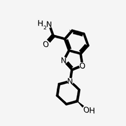 NC(=O)c1[c]ccc2oc(N3CCC[C@H](O)C3)nc12